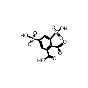 O=C(O)c1cc(S(=O)(=O)O)cc(S(=O)(=O)O)c1I(=O)=O